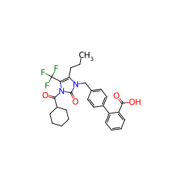 CCCc1c(C(F)(F)F)n(C(=O)C2CCCCC2)c(=O)n1Cc1ccc(-c2ccccc2C(=O)O)cc1